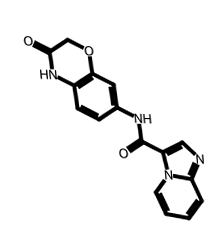 O=C1COc2cc(NC(=O)c3cnc4ccccn34)ccc2N1